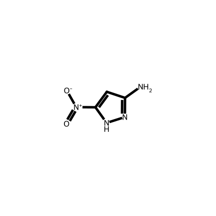 Nc1cc([N+](=O)[O-])[nH]n1